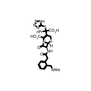 CCCC(Sc1nnn[nH]1)(C(=O)O)C1=C(C(=O)O)N2C(=O)[C@H](NC(=O)Cc3ccccc3CNC)[C@@H]2SC1